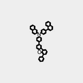 c1ccc(-c2cccc3c2oc2ccc(-c4ccc(N(c5ccc(-c6cccc7ccccc67)cc5)c5ccc6ccccc6c5)cc4)cc23)cc1